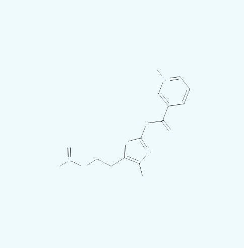 Cc1nc(NC(=O)c2ccc[n+]([O-])c2)sc1CCO[N+](=O)[O-]